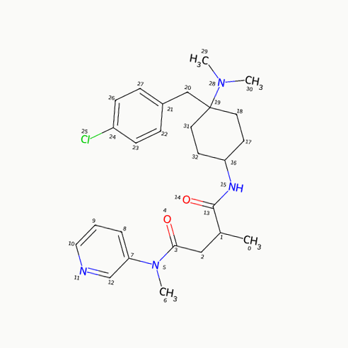 CC(CC(=O)N(C)c1cccnc1)C(=O)NC1CCC(Cc2ccc(Cl)cc2)(N(C)C)CC1